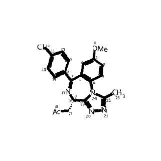 COc1ccc2c(c1)C(c1ccc(Cl)cc1)=N[C@@H](CC(C)=O)c1nnc(C)n1-2